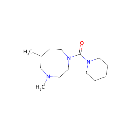 CC1CCN(C(=O)N2CCCCC2)CCN(C)C1